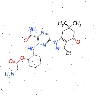 CCc1nn(-c2cnc(C(N)=O)c(NC3CCCCC3OC(=O)CN)n2)c2c1C(=O)CC(C)(C)C2